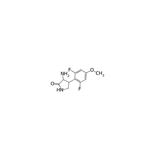 COc1cc(F)c(C2CNC(=O)C2N)c(F)c1